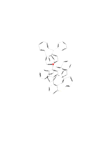 c1ccc(-c2c3ccccc3c(-c3cccc4sc5cccc(-c6c7ccccc7c(-c7ccc8c(c7)C(c7ccccc7)c7ccccc7-8)c7ccccc67)c5c34)c3ccccc23)cc1